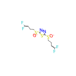 [O-][S+](CCC=C(F)F)c1nnc([S+]([O-])CCC=C(F)F)s1